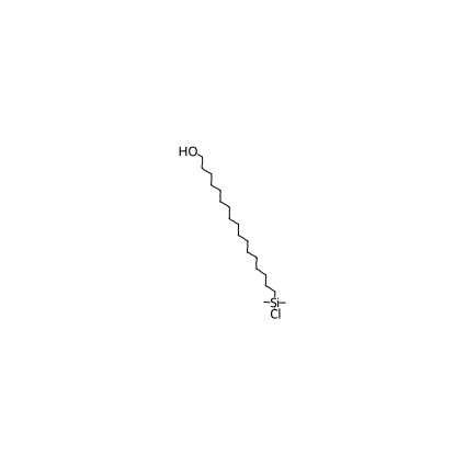 C[Si](C)(Cl)CCCCCCCCCCCCCCCCCO